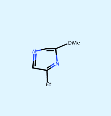 CCc1cncc(OC)n1